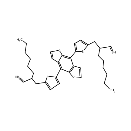 B=CC(CCCCCC)Cc1ccc(-c2c3ccsc3c(-c3ccc(CC(C=B)CCCCCC)s3)c3ccsc23)s1